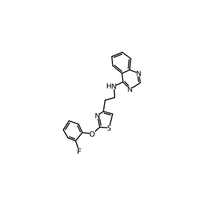 Fc1ccccc1Oc1nc(CCNc2ncnc3ccccc23)cs1